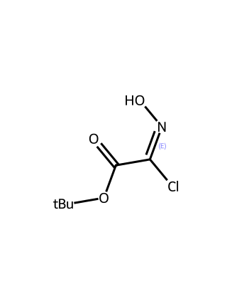 CC(C)(C)OC(=O)/C(Cl)=N\O